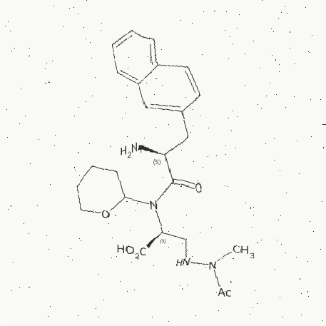 CC(=O)N(C)NC[C@@H](C(=O)O)N(C(=O)[C@@H](N)Cc1ccc2ccccc2c1)C1CCCCO1